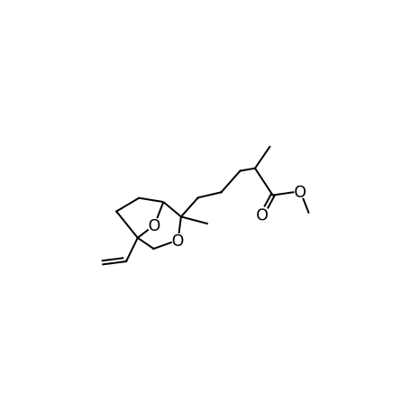 C=CC12CCC(O1)C(C)(CCCC(C)C(=O)OC)OC2